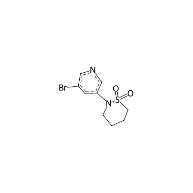 O=S1(=O)CCCCN1c1cncc(Br)c1